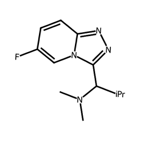 CC(C)C(c1nnc2ccc(F)cn12)N(C)C